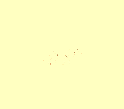 CC(=O)Nc1cccc(-c2cnc3cc(N4CCOCC4)ccn23)c1